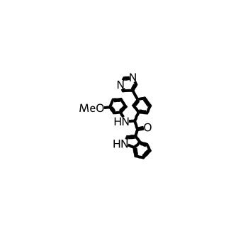 COc1cccc(NC(C(=O)c2c[nH]c3ccccc23)c2cccc(-c3cncnc3)c2)c1